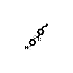 C=CCc1ccc(C(=O)O[C@H]2CC[C@H](C#N)CC2)cc1